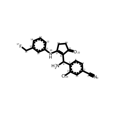 N#Cc1ccc(C(N)C2=C(Nc3cccc(CF)c3)CCC2=O)c(Cl)c1